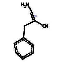 N#C/C(=C/N)Cc1ccccc1